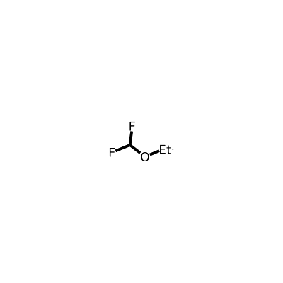 C[CH]OC(F)F